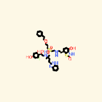 CC(C)(CCc1nc2ccccc2[nH]1)NCC(O)c1ccc(O)cc1F.O=c1[nH]c2c(O)ccc(CCNCCS(=O)(=O)CCCOCCc3ccccc3)c2s1